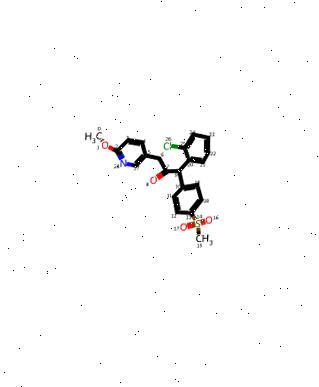 COc1ccc(CC(=O)C(c2ccc(S(C)(=O)=O)cc2)c2ccccc2Cl)cn1